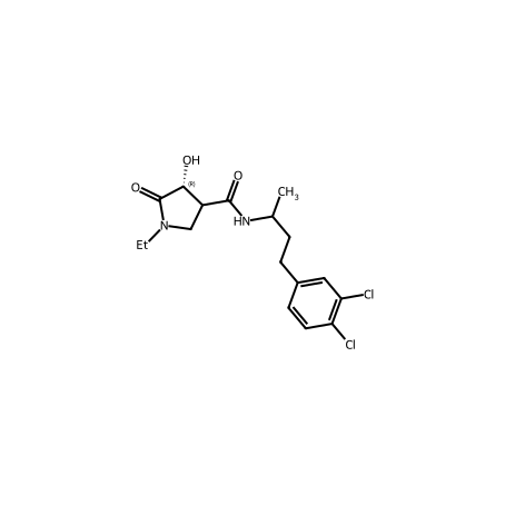 CCN1CC(C(=O)NC(C)CCc2ccc(Cl)c(Cl)c2)[C@@H](O)C1=O